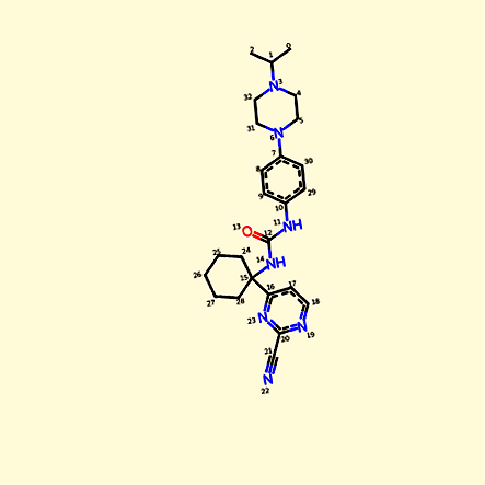 CC(C)N1CCN(c2ccc(NC(=O)NC3(c4ccnc(C#N)n4)CCCCC3)cc2)CC1